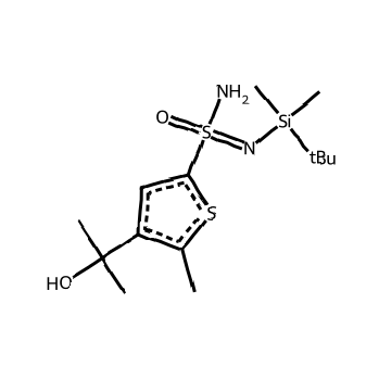 Cc1sc(S(N)(=O)=N[Si](C)(C)C(C)(C)C)cc1C(C)(C)O